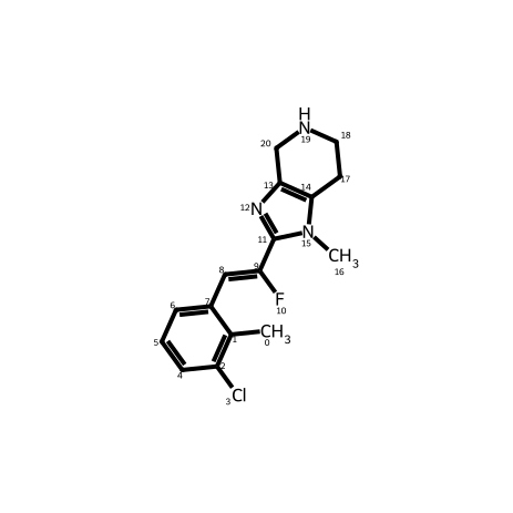 Cc1c(Cl)cccc1C=C(F)c1nc2c(n1C)CCNC2